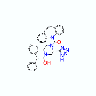 O=C(N1c2ccccc2C=Cc2ccccc21)N1CCN(C(O)C(c2ccccc2)c2ccccc2)C[C@H]1c1nnn[nH]1